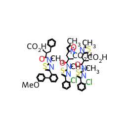 COc1cccc(-c2ccccc2-c2csc(N(C)C(=O)C(CC(=O)O)Cc3ccccc3)n2)c1.Cc1cc(CC(CC(=O)O)C(=O)N(C)c2nc(-c3ccccc3Cl)cs2)no1.Cc1nc(CC(CC(=O)O)C(=O)N(C)c2nc(-c3ccccc3Cl)cs2)cs1